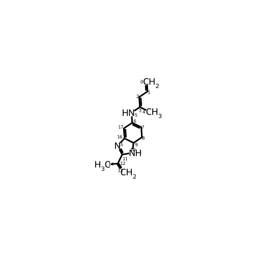 C=C/C=C(\C)NC1=CCC2NC(C(=C)C)=NC2=C1